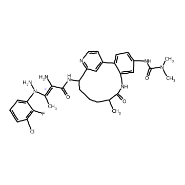 C/C(=C(/N)C(=O)NC1CCCC(C)C(=O)Nc2cc(NC(=O)N(C)C)ccc2-c2ccnc1c2)N(N)c1cccc(Cl)c1F